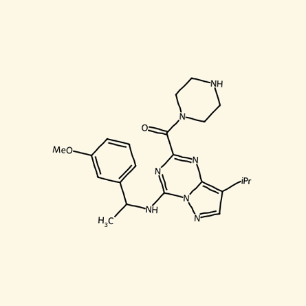 COc1cccc(C(C)Nc2nc(C(=O)N3CCNCC3)nc3c(C(C)C)cnn23)c1